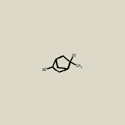 CCC1(C)CC2CC1CC2C#N